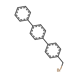 BrCc1ccc(-c2ccc(-c3ccccc3)cc2)cc1